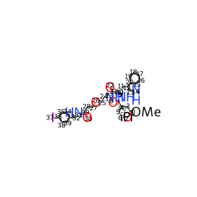 COC(=O)C[C@@H](CC(C)C)C(=O)N[C@@H](Cc1c[nH]c2ccccc12)C(=O)NCCOCCC(=O)NCc1ccc(I)cc1